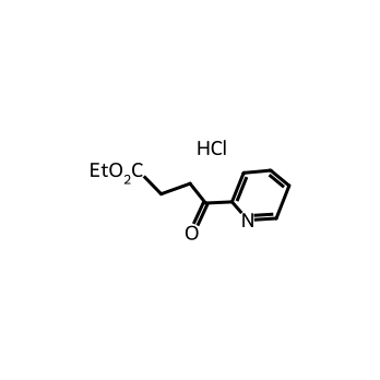 CCOC(=O)CCC(=O)c1ccccn1.Cl